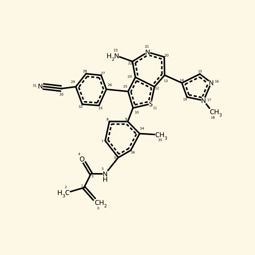 C=C(C)C(=O)Nc1ccc(-c2sc3c(-c4cnn(C)c4)cnc(N)c3c2-c2ccc(C#N)cc2)c(C)c1